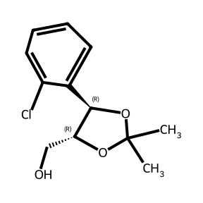 CC1(C)O[C@H](c2ccccc2Cl)[C@@H](CO)O1